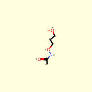 CC(=O)[N]OCCCO